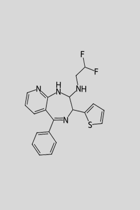 FC(F)CNC1Nc2ncccc2C(c2ccccc2)=NC1c1cccs1